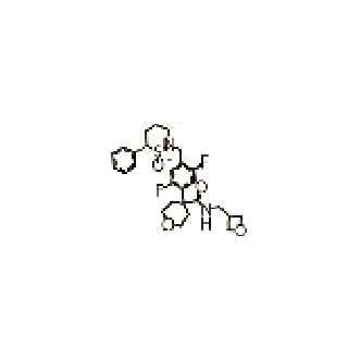 C[C@H]1CC[C@H](c2ccccc2)[S+]([O-])N1Cc1cc(F)c(C2(C(=O)NCC3COC3)CCOCC2)cc1F